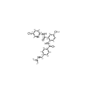 COc1ccc(NC(=O)c2ccc(C=NN(C)C)cc2)c(C(=O)Nc2ccc(Cl)cn2)c1